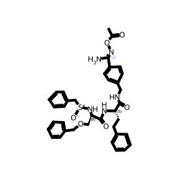 CC(=O)O/N=C(\N)c1ccc(CNC(=O)[C@H](CCc2ccccc2)NC(=O)[C@@H](COCc2ccccc2)N[S+]([O-])Cc2ccccc2)cc1